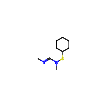 CN=CN(C)SC1CCCCC1